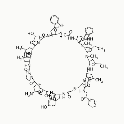 CCCC[C@H]1C(=O)N(C)[C@@H](CCCC)C(=O)N[C@@H](CC(C)C)C(=O)N[C@H](C(=O)NCC(=O)N2CCCCC2)CSCC(=O)N[C@@H](Cc2ccc(O)cc2)C(=O)N(C)[C@@H](C)C(=O)N[C@@H](CC(N)=O)C(=O)N2CCC[C@H]2C(=O)N[C@@H](CN)C(=O)N[C@@H](CC(C)C)C(=O)N2C[C@H](O)C[C@H]2C(=O)N[C@@H](Cc2c[nH]c3ccccc23)C(=O)NCC(=O)N[C@@H](Cc2c[nH]c3ccccc23)C(=O)N1C